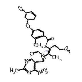 C/C(=C(\CCOI)SC(=O)c1ccc(Oc2cccc(Cl)c2)cc1C)N(C=O)Cc1cnc(C)nc1N